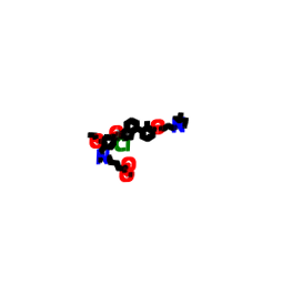 CCOc1cc(O[C@H]2CCc3c(-c4cccc(OCCCN5CCC5(C)C)c4C)cccc32)c(Cl)cc1CN(C)CCCCC(=O)OC